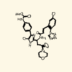 COC(=O)Nc1ccc(-c2nc(C(CC(=O)N3CCOCC3)NC(=O)C=Cc3cc(Cl)ccc3-n3cnnn3)[nH]c2Cl)cc1